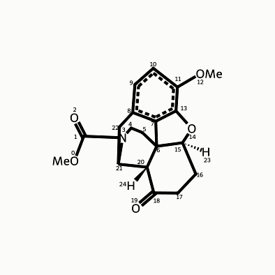 COC(=O)N1CCC23c4c5ccc(OC)c4O[C@H]2CCC(=O)[C@@H]3C1C5